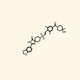 Cc1cc(C(=O)N2CCC(C)(O)CC2)cc(C)c1C=CS(=O)(=O)N1CCC2(CC1)N=C(c1ccc3c(c1)OCO3)NC2=O